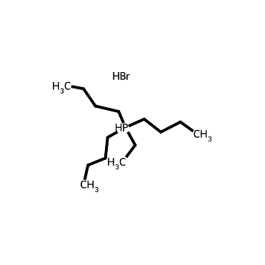 Br.CCCC[PH](CC)(CCCC)CCCC